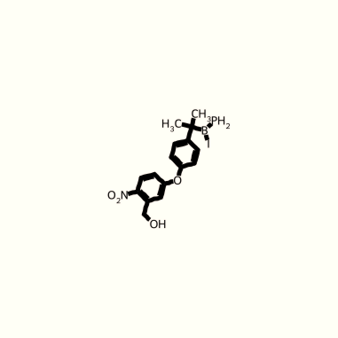 CC(C)(B(P)I)c1ccc(Oc2ccc([N+](=O)[O-])c(CO)c2)cc1